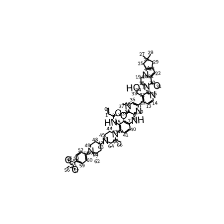 C=CC(=O)Nc1cc(Nc2nc(-c3ccnc(N4CCn5c(cc6c5CC(C)(C)C6)C4=O)c3CO)cn(C)c2=O)ccc1N1CCN(C2CCN(c3ccc(S(C)(=O)=O)cc3)[C@@H](C)C2)C[C@@H]1C